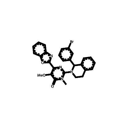 COc1c(-c2nc3ccccc3o2)nc(N2CCc3ccccc3C2c2cccc(Br)c2)n(C)c1=O